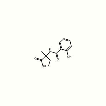 CCC(C)(NC(=O)c1ccccc1O)C(=O)O